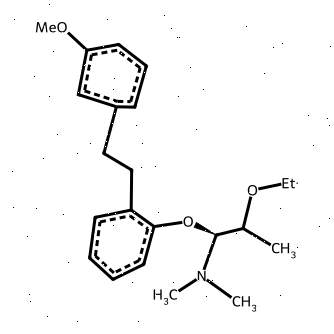 C[CH]OC(C)[C@H](Oc1ccccc1CCc1cccc(OC)c1)N(C)C